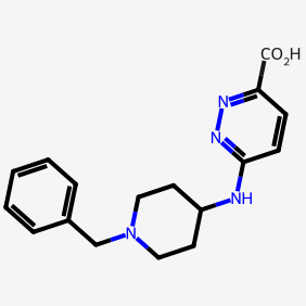 O=C(O)c1ccc(NC2CCN(Cc3ccccc3)CC2)nn1